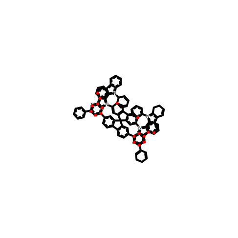 C1=CCC(n2c3ccccc3c3ccc4c5ccccc5n(C5=CC6=C(CC5)c5ccc(-n7c8ccccc8c8ccc9c%10c(n(-c%11ccccc%11)c9c87)CCC=C%10)cc5C65c6cc(-c7nc(C8=CCCC=C8)nc(-c8ccccc8)n7)ccc6-c6ccc(-c7nc(-c8ccccc8)nc(-c8ccccc8)n7)cc65)c4c32)C=C1